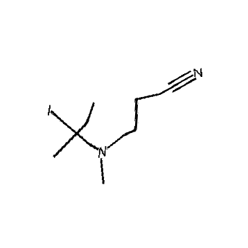 CN(CCC#N)C(C)(C)I